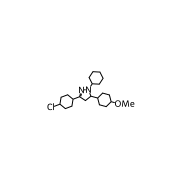 COC1CCC(C2CC(C3CCC(Cl)CC3)=NN2C2CCCCC2)CC1